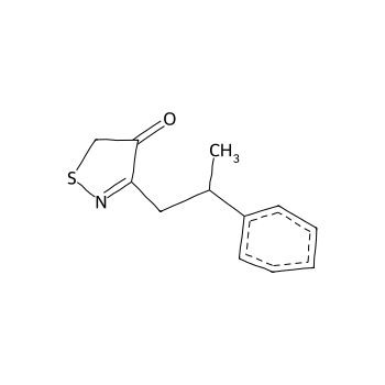 CC(CC1=NSCC1=O)c1ccccc1